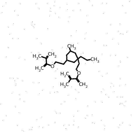 C=C(C)C(=C)OCCC1CC(C)CC(CCC)(CCOC(=C)C(=C)C)C1